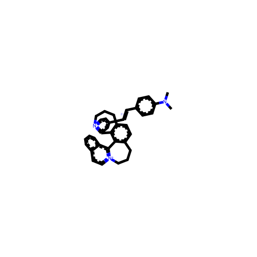 CN(C)c1ccc(/C=C/c2cc[n+]3c(c2)-c2c(ccc4c2-c2c5ccccc5cc[n+]2CCC4)CCC3)cc1